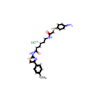 COc1ccc(-c2csc(NC(=O)CCCCCNC(=O)CSc3ccc(N)cc3)n2)cc1.Cl